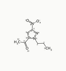 CCCn1nc([N+](=O)[O-])cc1C(C)=O